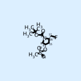 CC(C)(C)OC(=O)N1C[C@@H](OS(C)(=O)=O)C[C@H]1CF